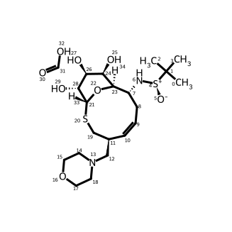 CC(C)(C)[S@@+]([O-])N[C@@H]1CC=C[C@@H](CN2CCOCC2)CS[C@H]2O[C@H]1[C@H](O)[C@H](O)[C@H]2O.O=CO